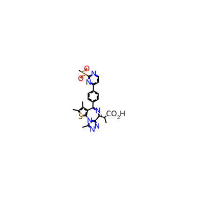 Cc1sc2c(c1C)C(c1ccc(-c3ccnc(S(C)(=O)=O)n3)cc1)=N[C@@H](C(C)C(=O)O)c1nnc(C)n1-2